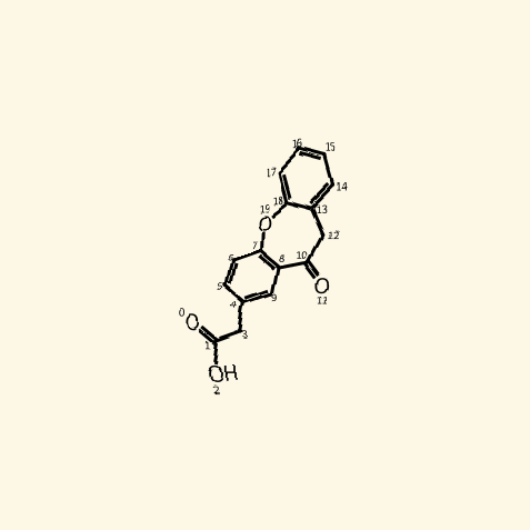 O=C(O)Cc1ccc2c(c1)C(=O)Cc1ccccc1O2